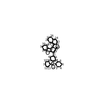 O=P(c1ccccc1)(c1ccccc1)c1ccc(-c2cc3oc4ccc5ccccc5c4c3c3c2oc2ccccc23)cc1